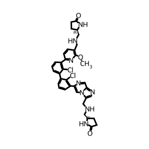 COc1nc(-c2cccc(-c3cccc(-c4cn5c(CNC[C@H]6CCC(=O)N6)cnc5cn4)c3Cl)c2Cl)ccc1CNC[C@H]1CCC(=O)N1